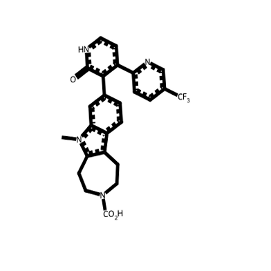 Cn1c2c(c3ccc(-c4c(-c5ccc(C(F)(F)F)cn5)cc[nH]c4=O)cc31)CCN(C(=O)O)CC2